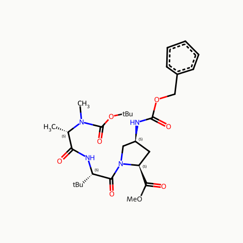 COC(=O)[C@@H]1C[C@H](NC(=O)OCc2ccccc2)CN1C(=O)[C@@H](NC(=O)[C@H](C)N(C)C(=O)OC(C)(C)C)C(C)(C)C